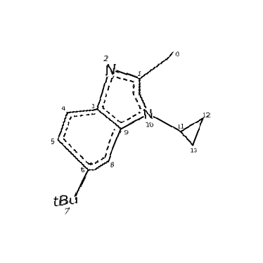 Cc1nc2ccc(C(C)(C)C)cc2n1C1CC1